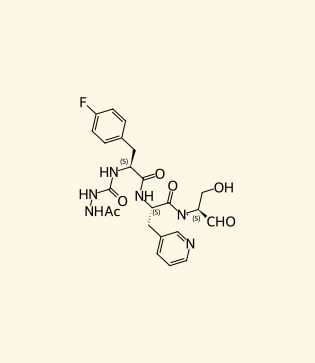 CC(=O)NNC(=O)N[C@@H](Cc1ccc(F)cc1)C(=O)N[C@@H](Cc1cccnc1)C(=O)[N][C@H](C=O)CO